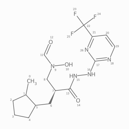 CC1CCCC1C[C@@H](CN(O)C=O)C(=O)NNc1nccc(C(F)(F)F)n1